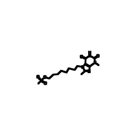 Cc1nc2c(c(=O)[nH]c(=O)n2C)n1CCCCCCCCOS(C)(=O)=O